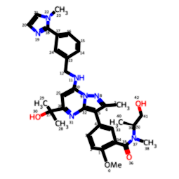 COc1ccc(-c2c(C)nn3c(NCc4cccc(-c5nccn5C)c4)cc(C(C)(C)O)nc23)cc1C(=O)N(C)[C@@H](C)CO